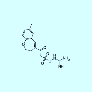 Cc1ccc2c(c1)C=C(C(=O)CS(=O)(=O)ONC(=N)N)CCO2